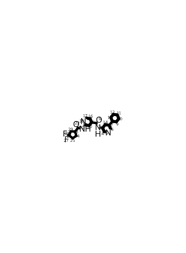 O=C(Nc1cncc(-c2ccccc2)c1)c1ccnc(NC(=O)C2CCC(F)(F)C2)c1